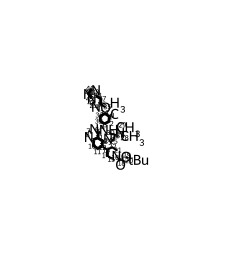 Cc1cc(Nc2ncnc3ccc(C4=CCN(C(=O)OC(C)(C)C)CC4)c(N4CC(N(C)C)C4)c23)ccc1Oc1cc2ncnn2cn1